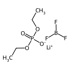 CCOP(=O)([O-])OCC.FB(F)F.[Li+]